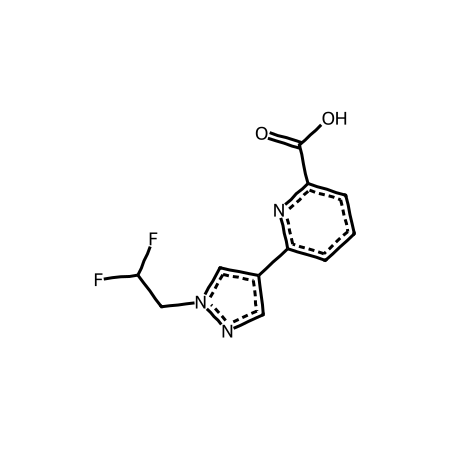 O=C(O)c1cccc(-c2cnn(CC(F)F)c2)n1